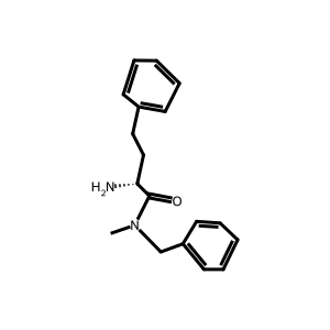 CN(Cc1ccccc1)C(=O)[C@H](N)CCc1ccccc1